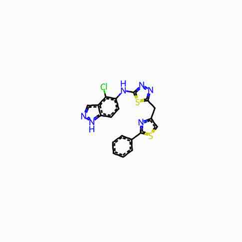 Clc1c(Nc2nnc(Cc3csc(-c4ccccc4)n3)s2)ccc2[nH]ncc12